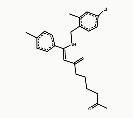 C=C(/C=C(\NCc1ccc(Cl)cc1C)c1ccc(C)cc1)CCCCC(C)=O